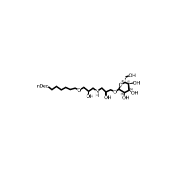 CCCCCCCCCCCCCCCCOCC(O)CNCC(O)COC1O[C@H](CO)[C@@H](O)[C@H](O)[C@H]1O